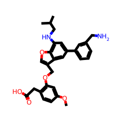 COc1ccc(CC(=O)O)c(OCc2coc3c(NCC(C)C)cc(-c4cccc(CN)c4)cc23)c1